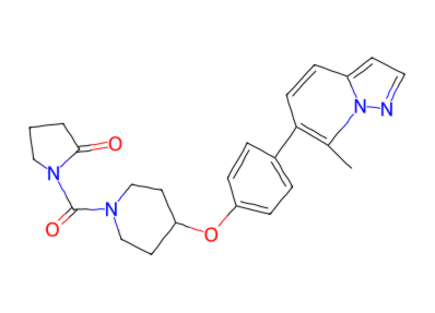 Cc1c(-c2ccc(OC3CCN(C(=O)N4CCCC4=O)CC3)cc2)ccc2ccnn12